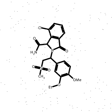 CCOc1cc(C(CS(C)(=O)=O)N2C(=O)c3[c]ccc(Cl)c3C2C(N)=O)ccc1OC